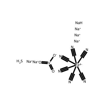 N#[C][Fe-4]([C]#N)([C]#N)([C]#N)([C]#N)[C]#N.S.[Na+].[Na+].[Na+].[Na+].[Na+].[NaH].[O]=[V](=[O])[O-]